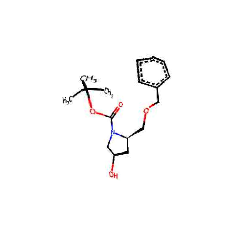 CC(C)(C)OC(=O)N1CC(O)C[C@@H]1COCc1ccccc1